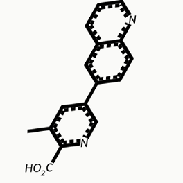 Cc1cc(-c2ccc3ncccc3c2)cnc1C(=O)O